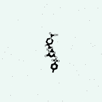 Cc1ccc(S(=O)(=O)Oc2cc(=O)n3nc(C4(F)CCN(C(=O)O)CC4)sc3n2)cc1